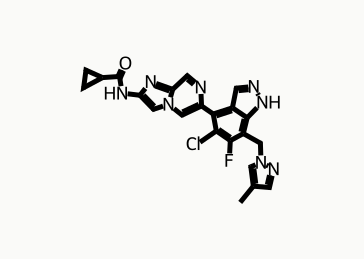 Cc1cnn(Cc2c(F)c(Cl)c(-c3cn4cc(NC(=O)C5CC5)nc4cn3)c3cn[nH]c23)c1